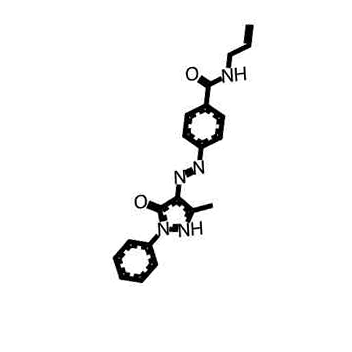 C=CCNC(=O)c1ccc(/N=N/c2c(C)[nH]n(-c3ccccc3)c2=O)cc1